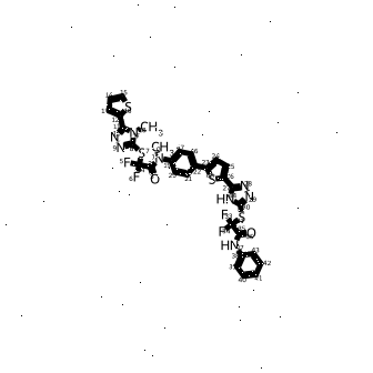 CN(C(=O)C(F)(F)Sc1nnc(-c2cccs2)n1C)c1ccc(-c2ccc(-c3nnc(SC(F)(F)C(=O)Nc4ccccc4)[nH]3)s2)cc1